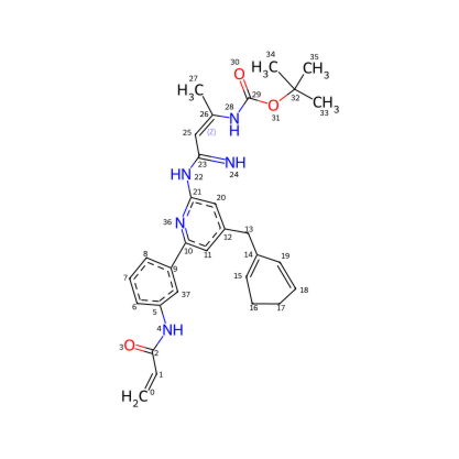 C=CC(=O)Nc1cccc(-c2cc(CC3=CCCC=C3)cc(NC(=N)/C=C(/C)NC(=O)OC(C)(C)C)n2)c1